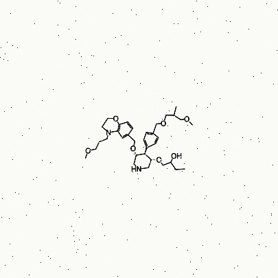 CCC(O)CO[C@@H]1CNC[C@H](OCc2ccc3c(c2)N(CCCOC)CCO3)[C@H]1c1ccc(COCC(C)COC)cc1